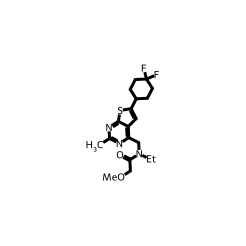 CCN(Cc1nc(C)nc2sc(C3CCC(F)(F)CC3)cc12)C(=O)COC